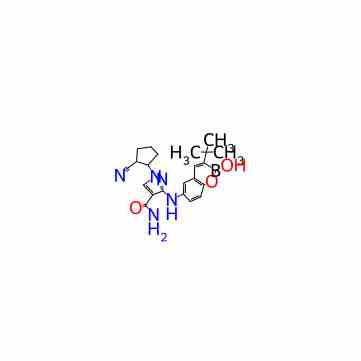 CC(C)(C)C1=Cc2cc(Nc3nn(C4CCCC4C#N)cc3C(N)=O)ccc2OB1O